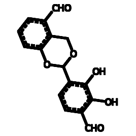 O=Cc1ccc(C2OCc3c(C=O)cccc3O2)c(O)c1O